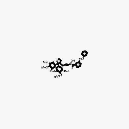 CCCOc1ccc(C2(c3cc(OC)c(OC)c(OC)c3)OCCC2CC#CN(O)C(=O)c2cccc(OOc3ccccc3)c2)cc1OC